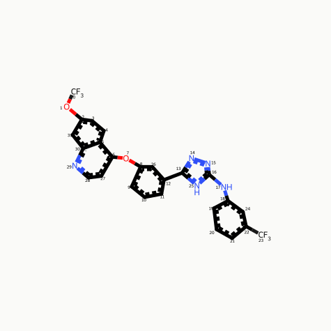 FC(F)(F)Oc1ccc2c(Oc3cccc(-c4nnc(Nc5cccc(C(F)(F)F)c5)[nH]4)c3)ccnc2c1